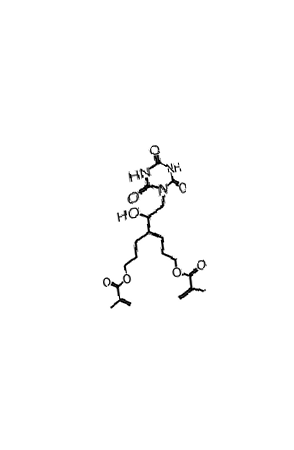 C=C(C)C(=O)OCCCC(CCCOC(=O)C(=C)C)C(O)Cn1c(=O)[nH]c(=O)[nH]c1=O